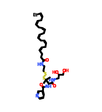 CC/C=C\C/C=C\C/C=C\C/C=C\C/C=C\C/C=C\CCC(=O)NCCSSC(C)(C)[C@H](NC(=O)c1cccnc1)C(=O)NC[C@@H](O)CO